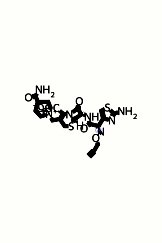 C#CCO/N=C(\C(=O)N[C@@H]1C(=O)N2C(C(=O)[O-])=C(C[N+]34CCC(C(N)=O)(CC3)CC4)CS[C@@H]12)c1csc(N)n1